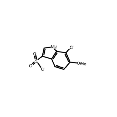 COc1ccc2c(S(=O)(=O)Cl)c[nH]c2c1Cl